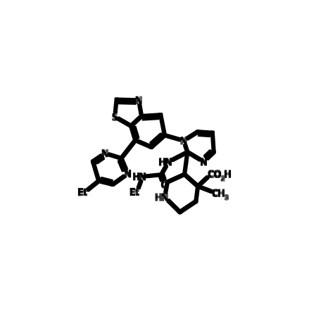 CCNC(=O)NC1(C2CNCCC2(C)C(=O)O)N=CC=CN1c1cc(-c2ncc(CC)cn2)c2scnc2c1